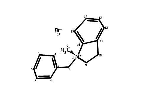 C[N@+]1(Cc2ccccc2)CCc2ccccc21.[Br-]